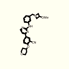 COC1CN(Cc2cccc(Nc3nccc(-c4ccc(OC5CCOCC5)c(C#N)c4)n3)c2)C1